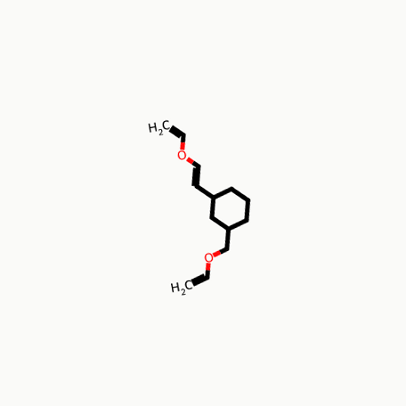 C=COC=CC1CCCC(COC=C)C1